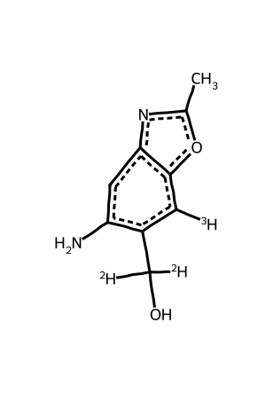 [2H]C([2H])(O)c1c(N)cc2nc(C)oc2c1[3H]